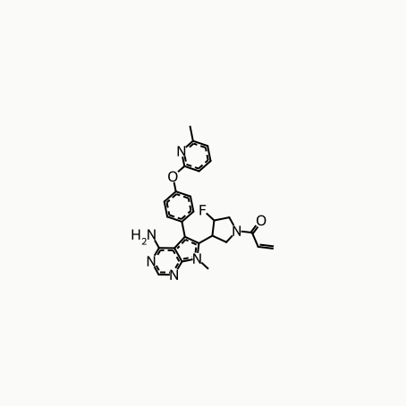 C=CC(=O)N1CC(F)C(c2c(-c3ccc(Oc4cccc(C)n4)cc3)c3c(N)ncnc3n2C)C1